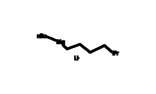 CCC[CH2][Mg][CH2]CCCC(C)C.[Li]